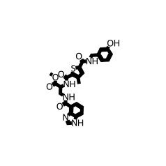 COC(=O)C(CNC(=O)c1cccc2[nH]cnc12)NC(=O)c1sc(C(=O)NCc2cccc(O)c2)cc1C